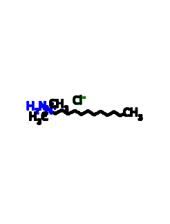 CCCCCCCCCCCC[N+](C)(C)N.[Cl-]